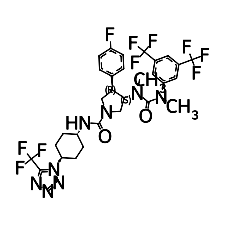 CN(C(=O)N(C)[C@@H]1CN(C(=O)N[C@H]2CC[C@H](n3nnnc3C(F)(F)F)CC2)C[C@H]1c1ccc(F)cc1)c1cc(C(F)(F)F)cc(C(F)(F)F)c1